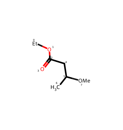 [CH2]COC(=O)CC(C)OC